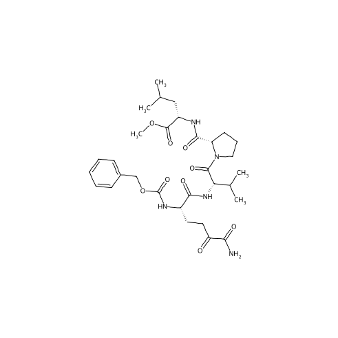 COC(=O)[C@H](CC(C)C)NC(=O)[C@@H]1CCCN1C(=O)[C@@H](NC(=O)[C@H](CCC(=O)C(N)=O)NC(=O)OCc1ccccc1)C(C)C